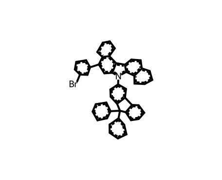 Brc1cccc(-c2cc3c(c4ccccc24)c2ccc4ccccc4c2n3-c2ccc3c(c2)-c2ccccc2C3(c2ccccc2)c2ccccc2)c1